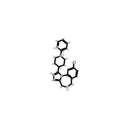 Clc1ccc2c(c1)-n1c(nnc1C1CCN(c3ccccn3)CC1)COC2